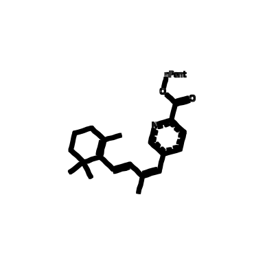 CCCCCOC(=O)c1ccc(C=C(C)C=CC2=C(C)CCCC2(C)C)cn1